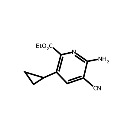 CCOC(=O)c1nc(N)c(C#N)cc1C1CC1